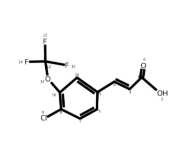 O=C(O)/C=C/c1ccc(Cl)c(OC(F)(F)F)c1